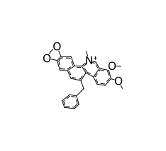 COc1ccc2c(c[n+](C)c3c4cc5c(cc4cc(Cc4ccccc4)c23)OCO5)c1OC